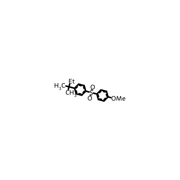 CCC(C)(C)c1ccc(S(=O)(=O)c2ccc(OC)cc2)cc1